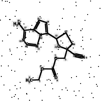 CCOC(=O)OCC1(C#N)CCC(c2ccc3c(N)ncnn23)O1